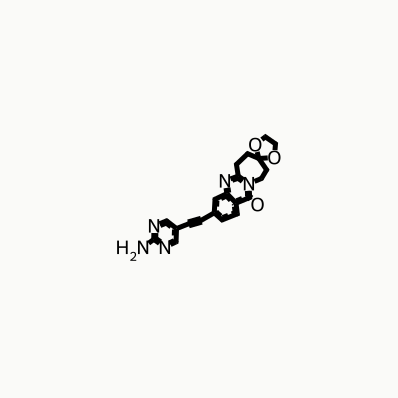 Nc1ncc(C#Cc2ccc3c(=O)n4c(nc3c2)CCC2(CC4)OCCO2)cn1